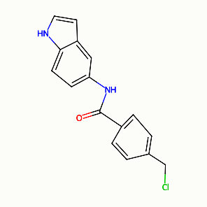 O=C(Nc1ccc2[nH]ccc2c1)c1ccc(CCl)cc1